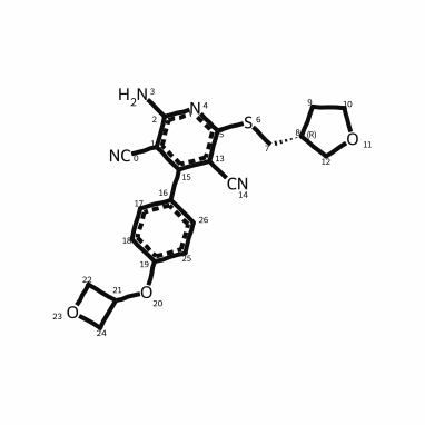 N#Cc1c(N)nc(SC[C@@H]2CCOC2)c(C#N)c1-c1ccc(OC2COC2)cc1